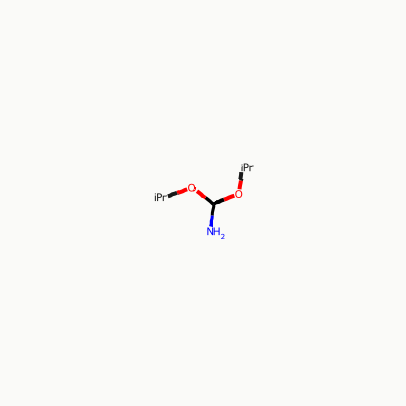 CC(C)OC(N)OC(C)C